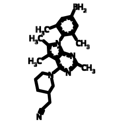 Bc1cc(C)c(-n2c(C)c(C)c3c(N4CCCC(CC#N)C4)nc(C)nc32)c(C)c1